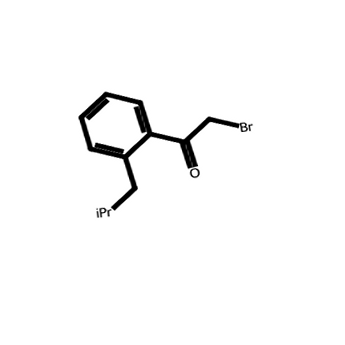 CC(C)Cc1ccccc1C(=O)CBr